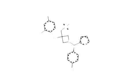 CS(=O)(=O)[C@@H](c1cc(F)cc(F)c1)C1(O)CN([C@H](c2ccc(Cl)cc2)c2cccs2)C1